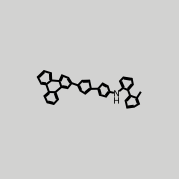 Cc1ccccc1-c1ccccc1Nc1ccc(-c2ccc(-c3ccc4c5ccccc5c5ccccc5c4c3)cc2)cc1